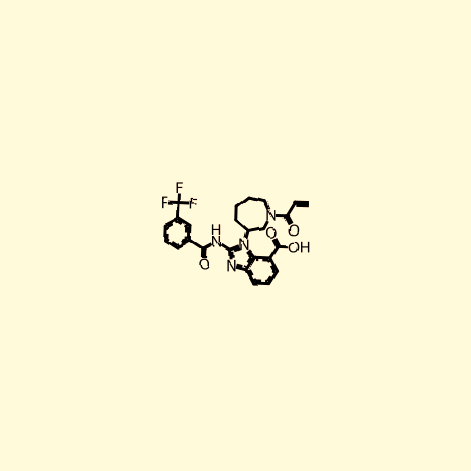 C=CC(=O)N1CCCCC(n2c(NC(=O)c3cccc(C(F)(F)F)c3)nc3cccc(C(=O)O)c32)C1